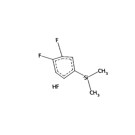 C[Si](C)c1ccc(F)c(F)c1.F